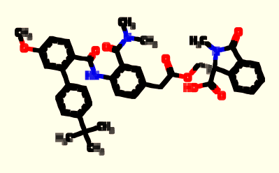 COc1ccc(C(=O)Nc2ccc(CC(=O)OC[C@@]3(C(=O)O)c4ccccc4C(=O)N3C)cc2C(=O)N(C)C)c(-c2ccc(C(C)(C)C)cc2)c1